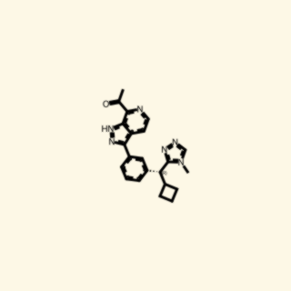 CC(=O)c1nccc2c(-c3cccc([C@H](c4nncn4C)C4CCC4)c3)n[nH]c12